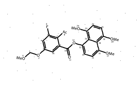 COCOc1cc(F)c(C(C)=O)c(C(=O)Oc2ccc(OC)c3c(OC)ccc(OC)c23)c1